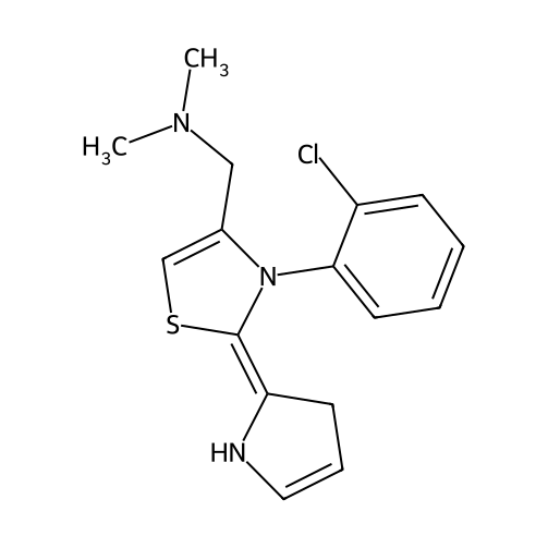 CN(C)CC1=CSC(=C2CC=CN2)N1c1ccccc1Cl